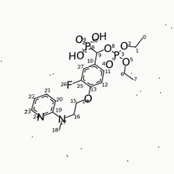 CCOP(=O)(OCC)OC(c1ccc(OCCN(C)c2ccccn2)c(F)c1)P(=O)(O)O